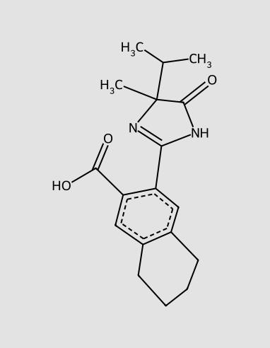 CC(C)C1(C)N=C(c2cc3c(cc2C(=O)O)CCCC3)NC1=O